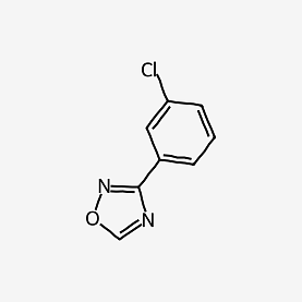 Clc1cccc(-c2ncon2)c1